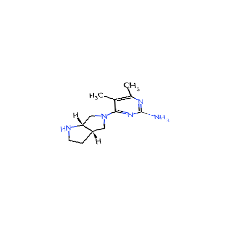 Cc1nc(N)nc(N2C[C@@H]3CCN[C@@H]3C2)c1C